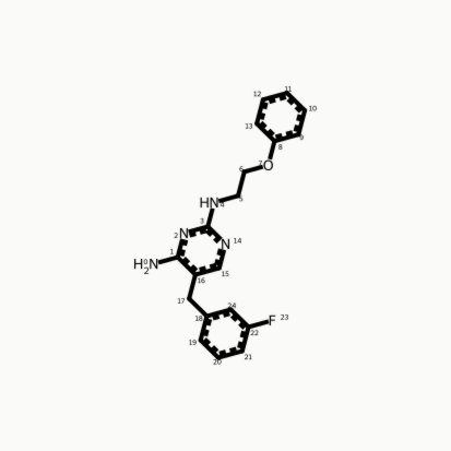 Nc1nc(NCCOc2ccccc2)ncc1Cc1cccc(F)c1